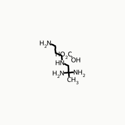 CC(N)(N)CNCCCN.O=C(O)O